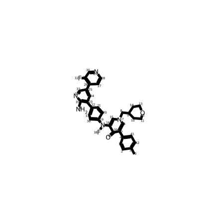 Cc1ccc(-c2cn(CC3CCOCC3)cc(N(F)c3ccc(-c4cc(-c5ccncc5F)cnc4N)cc3)c2=O)cc1